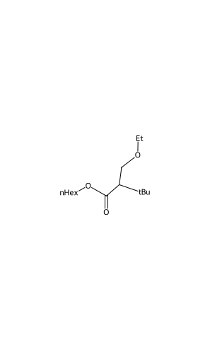 CCCCCCOC(=O)C(COCC)C(C)(C)C